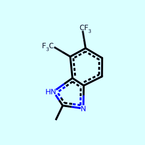 Cc1nc2ccc(C(F)(F)F)c(C(F)(F)F)c2[nH]1